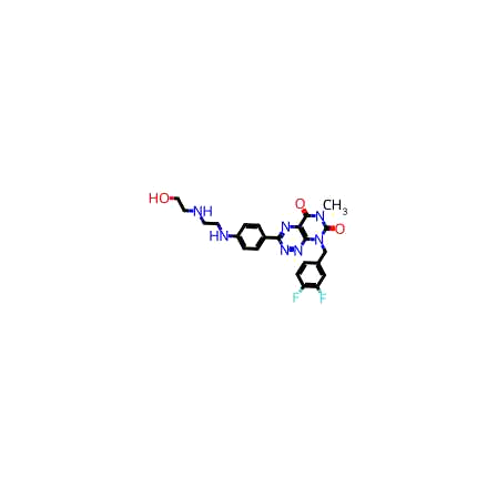 Cn1c(=O)c2nc(-c3ccc(NCCNCCO)cc3)nnc2n(Cc2ccc(F)c(F)c2)c1=O